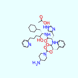 CC(=O)O.NC1CCN(C(=O)O[C@@H](Cc2ccccc2)C(=O)N[C@@H](Cc2c[nH]cn2)C(=O)N[C@@H](CC2CCCCC2)[C@@H](O)CCCc2ccccn2)CC1